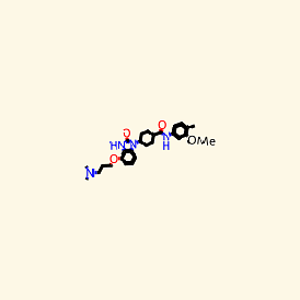 COc1cc(NC(=O)C2CCC(n3c(=O)[nH]c4c(OCCCN(C)C)cccc43)CC2)ccc1C